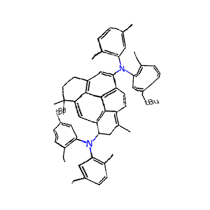 CC1=c2ccc3c(N(c4cc(C)ccc4C)c4cc(C(C)(C)C)ccc4C)cc4c5c(cc(c2c35)C(N(c2cc(C)ccc2C)c2cc(C(C)(C)C)ccc2C)C1)C(C)(C)CC4